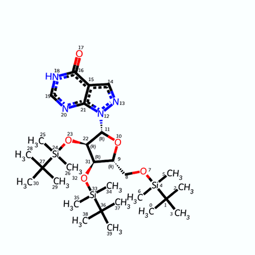 CC(C)(C)[Si](C)(C)OC[C@H]1O[C@@H](n2ncc3c(=O)[nH]cnc32)[C@H](O[Si](C)(C)C(C)(C)C)[C@@H]1O[Si](C)(C)C(C)(C)C